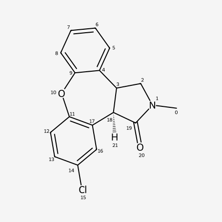 CN1CC2c3ccccc3Oc3ccc(Cl)cc3[C@@H]2C1=O